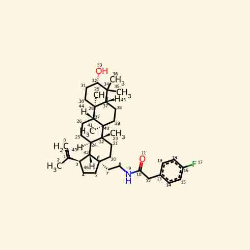 C=C(C)[C@@H]1CC[C@]2(CCNC(=O)Cc3ccc(F)cc3)CC[C@]3(C)[C@H](CC[C@@H]4[C@@]5(C)CC[C@H](O)C(C)(C)[C@@H]5CC[C@]43C)[C@@H]12